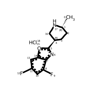 C[C@@H]1CC[C@@H](c2nc3c(F)cc(F)cc3o2)CN1.Cl